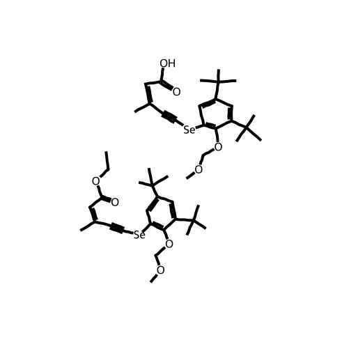 CCOC(=O)C=C(C)C#C[Se]c1cc(C(C)(C)C)cc(C(C)(C)C)c1OCOC.COCOc1c([Se]C#CC(C)=CC(=O)O)cc(C(C)(C)C)cc1C(C)(C)C